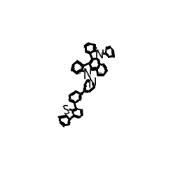 c1ccc(-n2c3ccccc3c3c4c5ccccc5n(-c5cc(-c6cccc(-c7cccc8c7sc7ccccc78)c6)ccn5)c4c4ccccc4c32)cc1